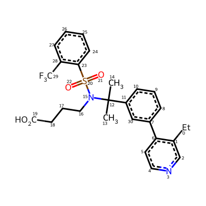 CCc1cnccc1-c1cccc(C(C)(C)N(CCCC(=O)O)S(=O)(=O)c2ccccc2C(F)(F)F)c1